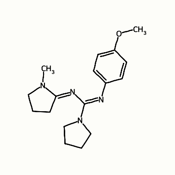 COc1ccc(N=C(N=C2CCCN2C)N2CCCC2)cc1